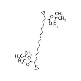 CC(C)(C)OC(=O)C(CCCCCCCCCCCCC(C(=O)OC(C)(C)C)C1CC1)C1CC1